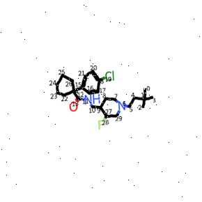 CC(C)(C)CCN1CCC(CNC(=O)C2(c3ccc(Cl)cc3)CCCCC2)C(F)C1